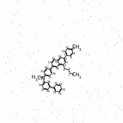 CCCCc1cc(-c2ccc(C)cc2)cc2ccc(-c3ccc(N(C)c4cccc(-c5ccccc5)c4)cc3)cc12